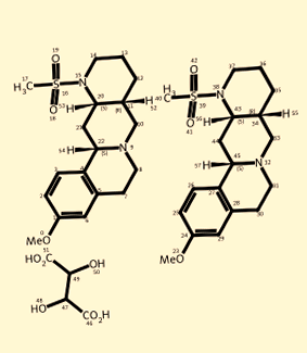 COc1ccc2c(c1)CCN1C[C@H]3CCCN(S(C)(=O)=O)[C@H]3C[C@@H]21.COc1ccc2c(c1)CCN1C[C@H]3CCCN(S(C)(=O)=O)[C@H]3C[C@@H]21.O=C(O)C(O)C(O)C(=O)O